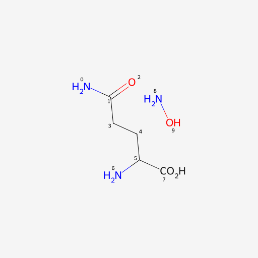 NC(=O)CCC(N)C(=O)O.NO